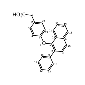 O=C(O)Cc1ccc(Oc2c(-c3ccccc3)ccc3ccccc23)cc1